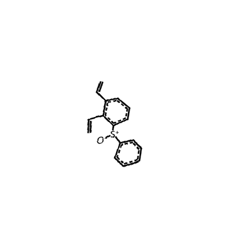 C=Cc1cccc([S+]([O-])c2ccccc2)c1C=C